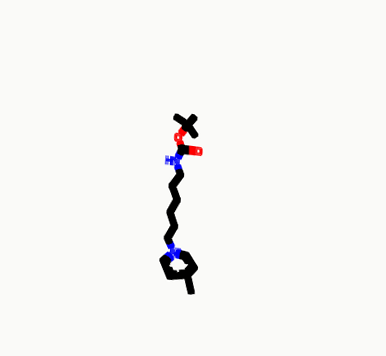 Cc1cc[n+](CCCCCCNC(=O)OC(C)(C)C)cc1